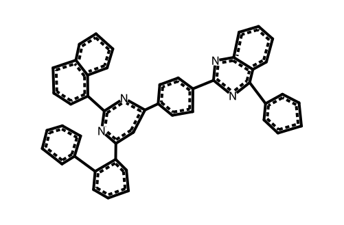 c1ccc(-c2ccccc2-c2cc(-c3ccc(-c4nc(-c5ccccc5)c5ccccc5n4)cc3)nc(-c3cccc4ccccc34)n2)cc1